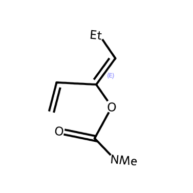 C=C/C(=C\CC)OC(=O)NC